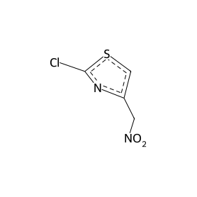 O=[N+]([O-])Cc1csc(Cl)n1